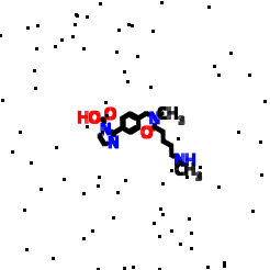 CNCCCCC(=O)N(C)Cc1ccc(C2=NCCN2C(=O)O)cc1